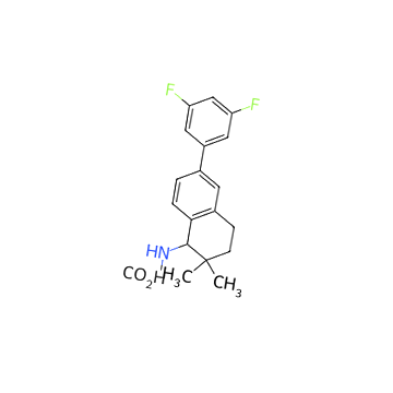 CC1(C)CCc2cc(-c3cc(F)cc(F)c3)ccc2C1NC(=O)O